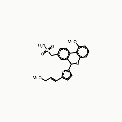 COCC=Cc1ccc(C2Oc3cccc(OC)c3-c3ccc(CS(N)(=O)=O)cc32)s1